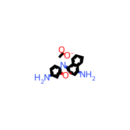 CC(=O)[O-].Nc1ccc2nc3c(cc(N)c4ccccc43)[o+]c2c1